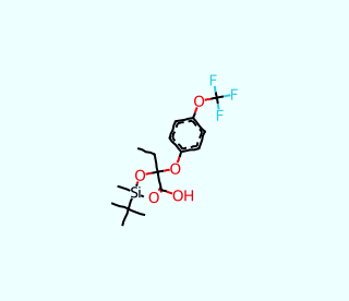 CCC(Oc1ccc(OC(F)(F)F)cc1)(O[Si](C)(C)C(C)(C)C)C(=O)O